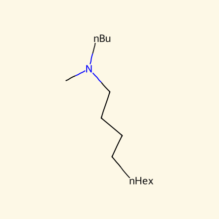 CCCCCCCCCCN(C)CCCC